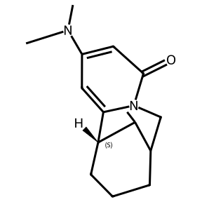 CC1C2CCC[C@@H]1c1cc(N(C)C)cc(=O)n1C2